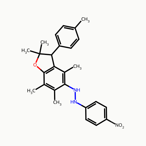 Cc1ccc(C2c3c(C)c(NNc4ccc([N+](=O)[O-])cc4)c(C)c(C)c3OC2(C)C)cc1